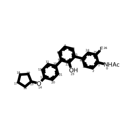 CC(=O)Nc1ccc(-c2cccc(-c3ccc(OC4CCCC4)cc3)c2O)cc1F